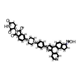 O=C1CCC(N2C(=O)c3ccc(N4CCN(c5ccc(-n6cc(-c7ccc8c(c7)CC/C8=N\O)c(-c7ccncc7)n6)cc5)CC4)cc3C2=O)C(=O)N1